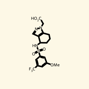 COc1cc(C(F)(F)F)cc(S(=O)(=O)NC2CCCc3c2cnn3CC(=O)O)c1